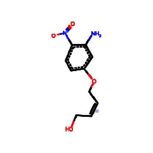 Nc1cc(OC/C=C\CO)ccc1[N+](=O)[O-]